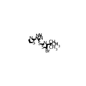 CC(C)(C)c1nc(Sc2nnnn2-c2nccs2)sc1Br